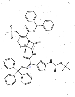 CC(C)(C)OC(=O)Nc1nc(/C(=N/OC(c2ccccc2)(c2ccccc2)c2ccccc2)C(=O)N[C@@H]2C(=O)N3C(C(=O)OC(c4ccccc4)c4ccccc4)=C(OS(C)(=O)=O)CS[C@@H]23)cs1